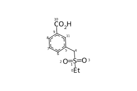 CCS(=O)(=O)Cc1cccc(C(=O)O)c1